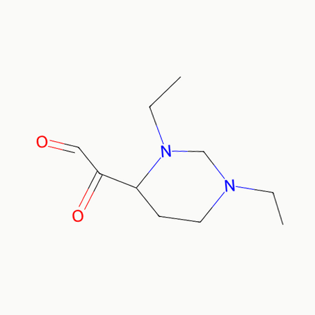 CCN1CCC(C(=O)C=O)N(CC)C1